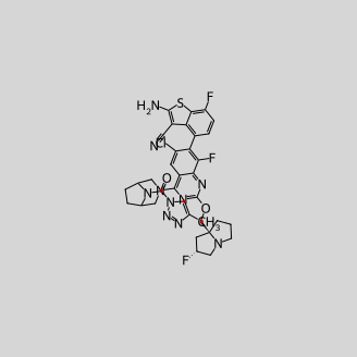 Cc1cn(C(=O)N2C3CCC2CN(c2nc(OC[C@@]45CCCN4C[C@H](F)C5)nc4c(F)c(-c5ccc(F)c6sc(N)c(C#N)c56)c(Cl)cc24)C3)nn1